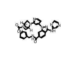 O=C(NCc1ccccc1)c1ccc2c(Nc3cnccn3)nn(-c3ccnc(N4C[C@@H]5C[C@H]4CN5C(=O)O)c3)c2c1